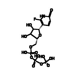 O=c1ccc([C@@H]2O[C@H](COP(=O)(O)OP(=O)(O)OP(=O)(O)O)C(O)C2O)c(F)[nH]1